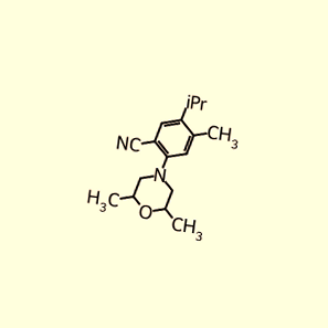 Cc1cc(N2CC(C)OC(C)C2)c(C#N)cc1C(C)C